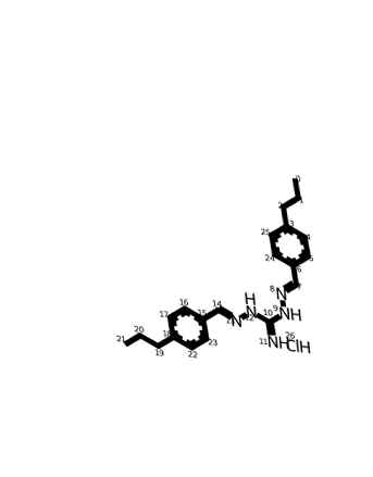 CCCc1ccc(C=NNC(=N)NN=Cc2ccc(CCC)cc2)cc1.Cl